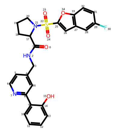 O=C(NCc1ccnc(-c2ccccc2O)c1)C1CCCN1S(=O)(=O)c1cc2cc(F)ccc2o1